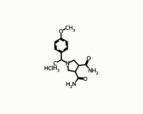 COc1ccc(C(C)N2CC(C(N)=O)C(C(N)=O)C2)cc1.Cl